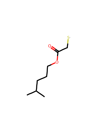 CC(C)CCCOC(=O)C[S]